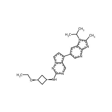 CCO[C@H]1C[C@@H](Nc2ncc3c(-c4cnc5nc(C)n(C(C)C)c5c4)ccn3n2)C1